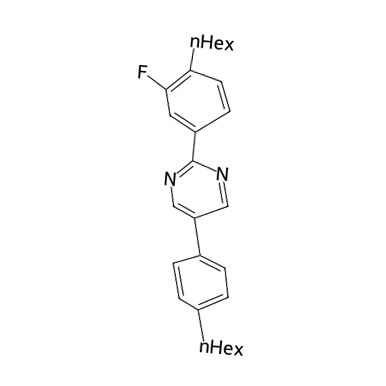 CCCCCCc1ccc(-c2cnc(-c3ccc(CCCCCC)c(F)c3)nc2)cc1